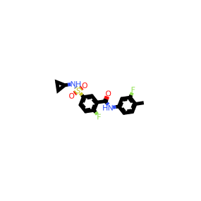 Cc1ccc(NC(=O)c2cc(S(=O)(=O)NC3CC3)ccc2F)cc1F